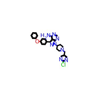 Nc1ncnc2c1c(-c1ccc(Oc3ccccc3)cc1)nn2C1CCN(Cc2cnc(Cl)nc2)CC1